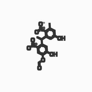 Cc1cc(O)cc(C(C)c2cc(O)c(OC=O)cc2[N+](=O)[O-])c1[N+](=O)[O-]